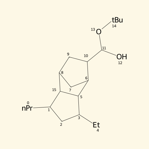 CCCC1CC(CC)C2C3CC(CC3C(O)OC(C)(C)C)C12